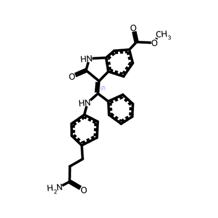 COC(=O)c1ccc2c(c1)NC(=O)/C2=C(\Nc1ccc(CCC(N)=O)cc1)c1ccccc1